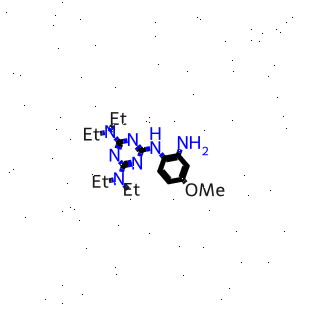 CCN(CC)c1nc(Nc2ccc(OC)cc2N)nc(N(CC)CC)n1